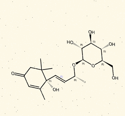 CC1=CC(=O)CC(C)(C)[C@@]1(O)/C=C/[C@@H](C)O[C@@H]1O[C@H](CO)[C@@H](O)[C@H](O)[C@H]1O